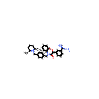 CC1CCCC(C)N1Cc1ccc(CN2C(=O)C(c3cccc(C(=N)N)c3)Oc3ccccc32)cc1